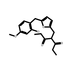 CCC(=O)C(Cc1ccc(Cc2ccc(OC)cc2Cl)o1)C(=O)CC